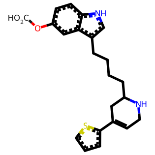 O=C(O)Oc1ccc2[nH]cc(CCCCC3CC(c4cccs4)=CCN3)c2c1